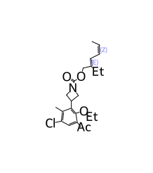 C/C=C\C=C(/CC)COC(=O)N1CC(c2c(C)c(Cl)cc(C(C)=O)c2OCC)C1